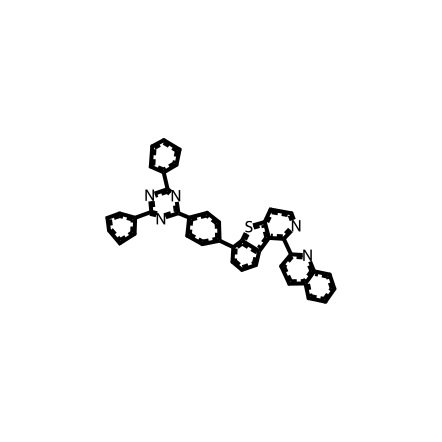 c1ccc(-c2nc(-c3ccccc3)nc(-c3ccc(-c4cccc5c4sc4ccnc(-c6ccc7ccccc7n6)c45)cc3)n2)cc1